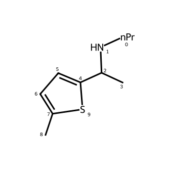 CCCNC(C)c1ccc(C)s1